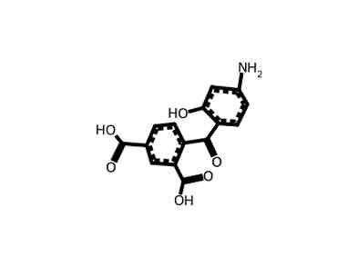 Nc1ccc(C(=O)c2ccc(C(=O)O)cc2C(=O)O)c(O)c1